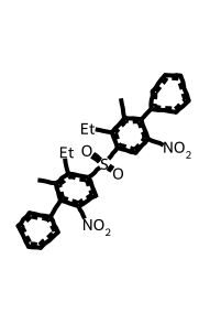 CCc1c(S(=O)(=O)c2cc([N+](=O)[O-])c(-c3ccccc3)c(C)c2CC)cc([N+](=O)[O-])c(-c2ccccc2)c1C